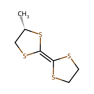 C[C@H]1CSC(=C2SCCS2)S1